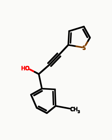 Cc1cccc(C(O)C#Cc2cccs2)c1